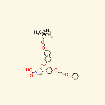 C[Si](C)(C)CCOCOc1ccc2ccc(COC3CN(C(=O)O)CCC3c3ccc(OCCCOCc4ccccc4)cc3)cc2c1